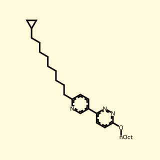 CCCCCCCCOc1ccc(-c2ccc(CCCCCCCCCC3CC3)nc2)nn1